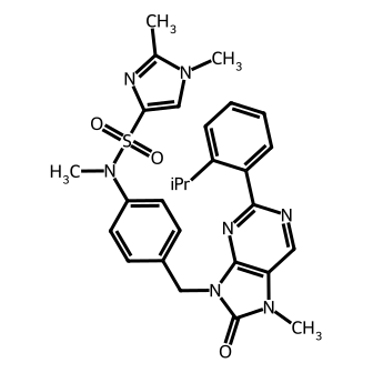 Cc1nc(S(=O)(=O)N(C)c2ccc(Cn3c(=O)n(C)c4cnc(-c5ccccc5C(C)C)nc43)cc2)cn1C